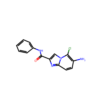 Nc1ccc2nc(C(=O)Nc3ccccc3)cn2c1Cl